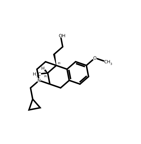 COc1ccc2c(c1)[C@@]1(CCO)CCN(CC3CC3)C(C2)[C@@H]1C